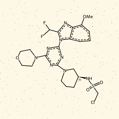 COc1cccc2c1nc(C(F)F)n2-c1nc(N2CCOCC2)nc(N2CCC[C@H](NS(=O)(=O)CCl)C2)n1